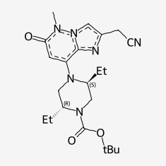 CC[C@@H]1CN(c2cc(=O)n(C)n3cc(CC#N)nc23)[C@@H](CC)CN1C(=O)OC(C)(C)C